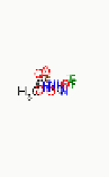 COc1ccc(C2COCCO2)c2sc(NC(=O)c3ccnc(OCC(F)(F)F)c3)nc12